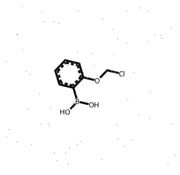 OB(O)c1ccccc1OCCl